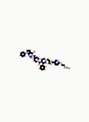 COCCOc1ccc(-c2ncc(CN3CC[C@@H](C(=O)N4CCC(O)(Cn5cnc6c(ccn6-c6ccccc6)c5=O)CC4)[C@H](c4ccccc4)C3)s2)cn1